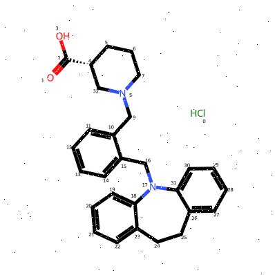 Cl.O=C(O)[C@@H]1CCCN(Cc2ccccc2CN2c3ccccc3CCc3ccccc32)C1